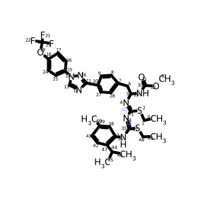 CCSC(=N\C(Cc1ccc(-c2ncn(-c3ccc(OC(F)(F)F)cc3)n2)cc1)NC(=O)OC)/N=C(/Nc1cc(C)ccc1C(C)C)SCC